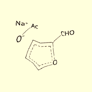 CC(=O)[O-].O=Cc1ccco1.[Na+]